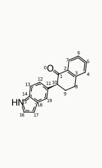 O=C1C2=C(C=C=C=C2)CC[C@H]1c1ccc2[nH]ccc2c1